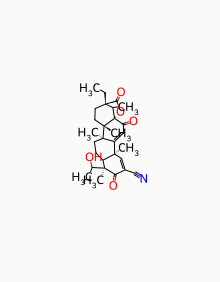 CC[C@@]12CC[C@@]3(C)[C@]4(C)CCC5[C@](C)(C(C)O)C(=O)C(C#N)=C[C@]5(C)C4=CC(=O)[C@]3(OC1=O)C2C